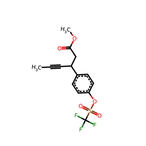 CC#CC(CC(=O)OC)c1ccc(OS(=O)(=O)C(F)(F)F)cc1